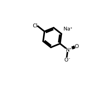 O=[N+]([O-])c1ccc(Cl)cc1.[Na+]